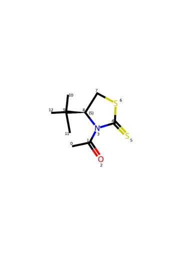 CC(=O)N1C(=S)SC[C@@H]1C(C)(C)C